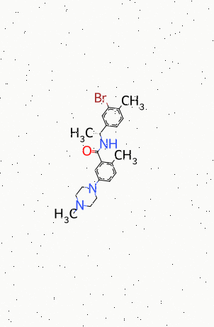 Cc1ccc([C@@H](C)NC(=O)c2cc(N3CCN(C)CC3)ccc2C)cc1Br